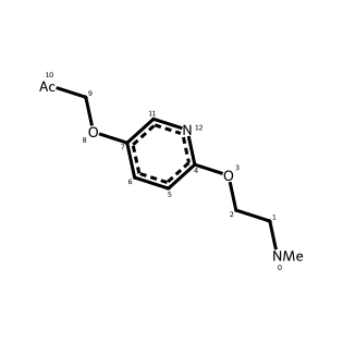 CNCCOc1ccc(OCC(C)=O)cn1